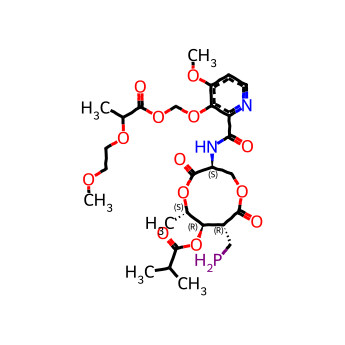 COCCOC(C)C(=O)OCOc1c(OC)ccnc1C(=O)N[C@H]1COC(=O)[C@H](CP)[C@@H](OC(=O)C(C)C)[C@H](C)OC1=O